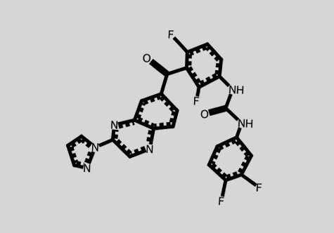 O=C(Nc1ccc(F)c(F)c1)Nc1ccc(F)c(C(=O)c2ccc3ncc(-n4cccn4)nc3c2)c1F